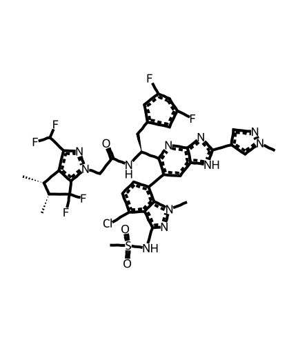 C[C@@H]1c2c(C(F)F)nn(CC(=O)N[C@@H](Cc3cc(F)cc(F)c3)c3nc4nc(-c5cnn(C)c5)[nH]c4cc3-c3ccc(Cl)c4c(NS(C)(=O)=O)nn(C)c34)c2C(F)(F)[C@@H]1C